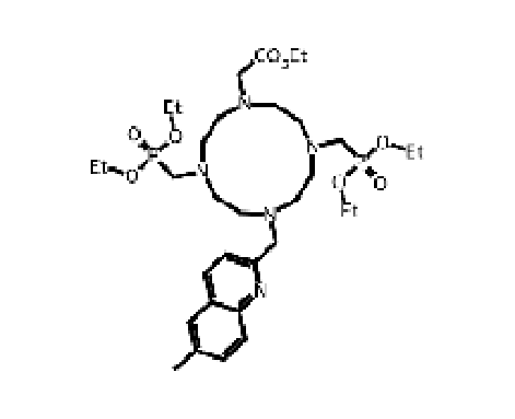 CCOC(=O)CN1CCN(CP(=O)(OCC)OCC)CCN(Cc2ccc3cc(C)ccc3n2)CCN(CP(=O)(OCC)OCC)CC1